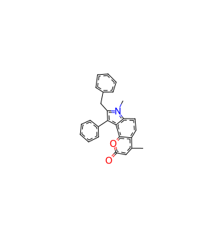 Cc1cc(=O)oc2c1ccc1c2c(-c2ccccc2)c(Cc2ccccc2)n1C